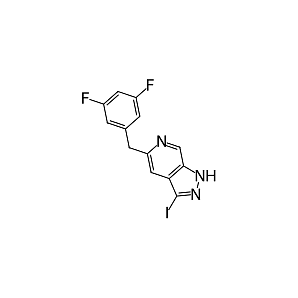 Fc1cc(F)cc(Cc2cc3c(I)n[nH]c3cn2)c1